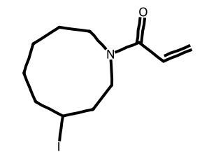 C=CC(=O)N1CCCCCC(I)CC1